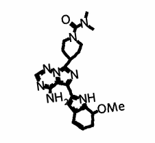 COC1CC=Cc2cc(-c3nc(C4CCN(C(=O)N(C)C)CC4)n4ncnc(N)c34)[nH]c21